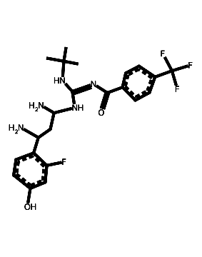 CC(C)(C)N/C(=N/C(=O)c1ccc(C(F)(F)F)cc1)NC(N)CC(N)c1ccc(O)cc1F